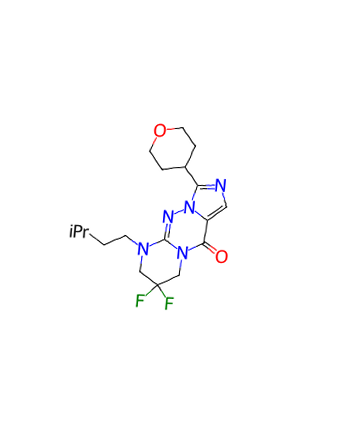 CC(C)CCN1CC(F)(F)Cn2c1nn1c(C3CCOCC3)ncc1c2=O